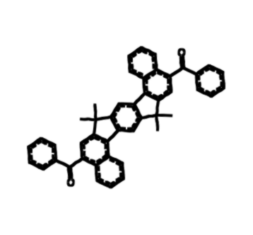 CC1(C)c2cc3c(cc2-c2c1cc(C(=O)c1ccccc1)c1ccccc21)C(C)(C)c1cc(C(=O)c2ccccc2)c2ccccc2c1-3